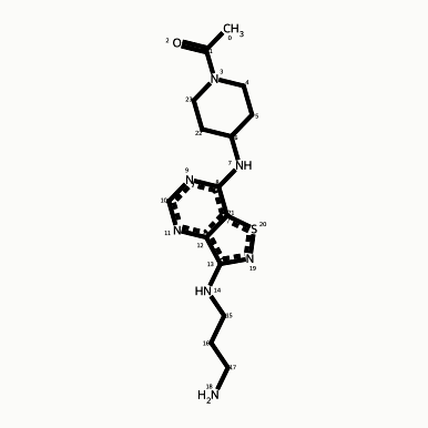 CC(=O)N1CCC(Nc2ncnc3c(NCCCN)nsc23)CC1